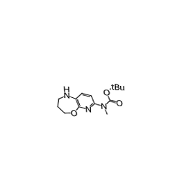 CN(C(=O)OC(C)(C)C)c1ccc2c(n1)OCCCN2